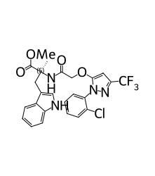 COC(=O)[C@](C)(Cc1c[nH]c2ccccc12)NC(=O)COc1cc(C(F)(F)F)nn1-c1ccccc1Cl